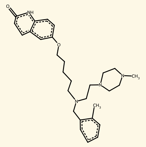 Cc1ccccc1CN(CCCCCOc1ccc2[nH]c(=O)ccc2c1)CCN1CCN(C)CC1